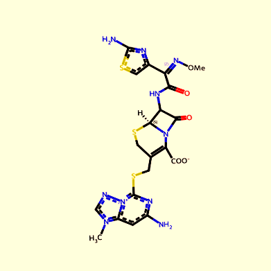 CO/N=C(\C(=O)NC1C(=O)N2C(C(=O)[O-])=C(CSc3nc(N)cc4n(C)cn[n+]34)CS[C@@H]12)c1csc(N)n1